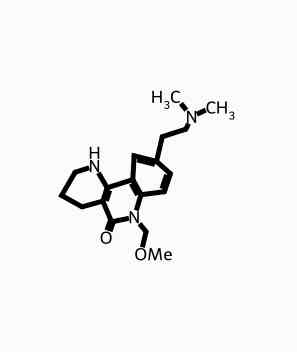 COCn1c(=O)c2c(c3cc(CCN(C)C)ccc31)NCCC2